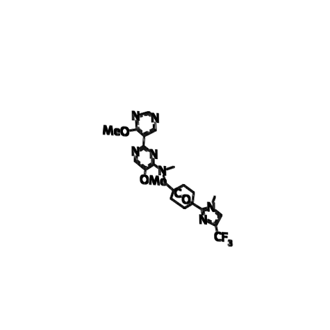 COc1cnc(-c2cncnc2OC)nc1N(C)CC12CCC(c3nc(C(F)(F)F)cn3C)(CC1)OC2